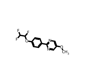 COc1cnc(-c2ccc(OC(F)C(F)F)cc2)nc1